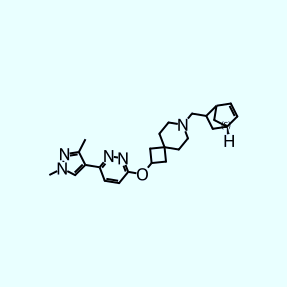 Cc1nn(C)cc1-c1ccc(OC2CC3(CCN(CC4C[C@H]5C=CC4C5)CC3)C2)nn1